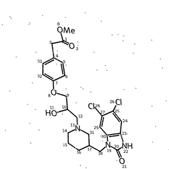 COC(=O)Cc1ccc(OCC(O)CN2CCCC(Cn3c(=O)[nH]c4cc(Cl)c(Cl)cc43)C2)cc1